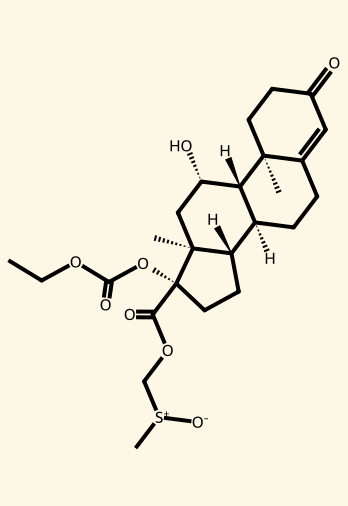 CCOC(=O)O[C@@]1(C(=O)OC[S+](C)[O-])CC[C@H]2[C@@H]3CCC4=CC(=O)CC[C@]4(C)[C@H]3[C@@H](O)C[C@@]21C